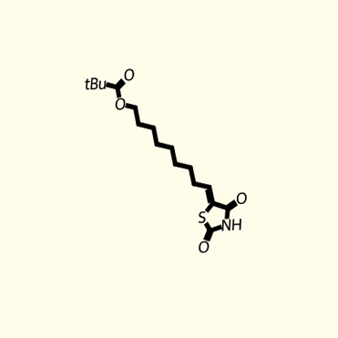 CC(C)(C)C(=O)OCCCCCCCC/C=C1\SC(=O)NC1=O